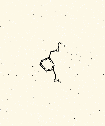 CCc1nccc(COC)n1